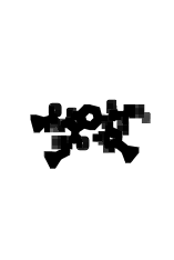 Cn1nc(C2CC2)cc1N(C(=S)NN)[C@H]1CCc2sc(NC(=O)C3CC3)c(C(=O)NCC3CC3)c2C1